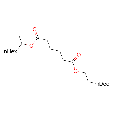 CCCCCCCCCCCCOC(=O)CCCCC(=O)OC(C)CCCCCC